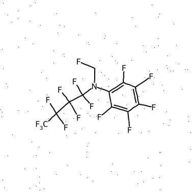 FCN(c1c(F)c(F)c(F)c(F)c1F)C(F)(F)C(F)(F)C(F)(F)C(F)(F)F